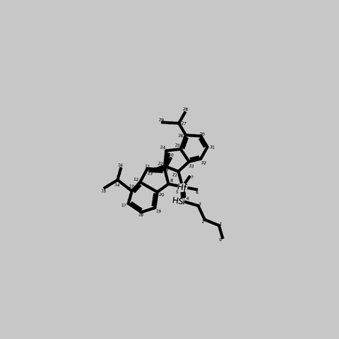 CCCC[SiH]=[Hf]([CH3])([CH3])([CH]1C(C)=Cc2c(C(C)C)cccc21)[CH]1C(C)=Cc2c(C(C)C)cccc21